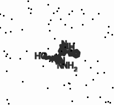 Nc1ncc2c(n1)c(-c1cc(-c3cc4ccccc4s3)c3[nH]ncc3c1)cn2CCCO